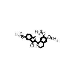 COc1ccc2sc(C3=NCCc4cc(OC)c(OC)cc43)c(Cl)c2c1